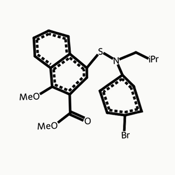 COC(=O)c1cc(SN(CC(C)C)c2ccc(Br)cc2)c2ccccc2c1OC